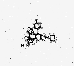 Cc1cc([C@H]2OC=C(C(N)=O)N2c2cc3oc(N4CCOCC4)nc3nc2N2CCC(N)C2)ccn1